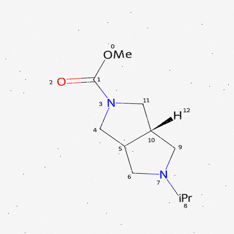 COC(=O)N1CC2CN(C(C)C)C[C@H]2C1